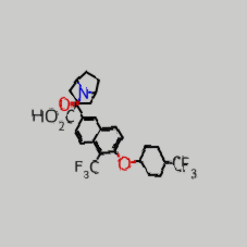 O=C(O)C1CC2CCC(C1)N2C(=O)c1ccc2c(C(F)(F)F)c(OC3CCC(C(F)(F)F)CC3)ccc2c1